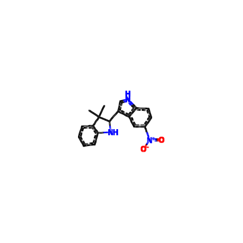 CC1(C)c2ccccc2NC1c1c[nH]c2ccc([N+](=O)[O-])cc12